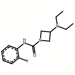 CCN(CC)C1CN(C(=O)Nc2ccccc2F)C1